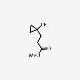 COC(=O)CCC1(C(F)(F)F)CC1